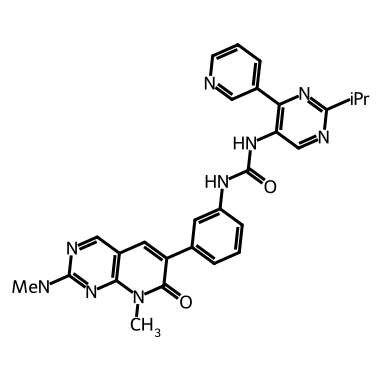 CNc1ncc2cc(-c3cccc(NC(=O)Nc4cnc(C(C)C)nc4-c4cccnc4)c3)c(=O)n(C)c2n1